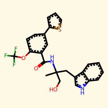 CC(CO)(Cc1c[nH]c2ccccc12)NC(=O)c1cc(-c2cccs2)ccc1OC(F)(F)F